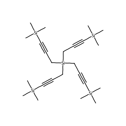 C[Si](C)(C)C#CC[Si](CC#C[Si](C)(C)C)(CC#C[Si](C)(C)C)CC#C[Si](C)(C)C